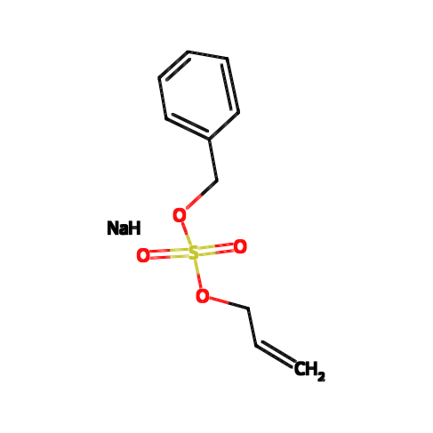 C=CCOS(=O)(=O)OCc1ccccc1.[NaH]